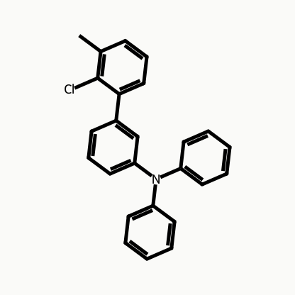 Cc1cccc(-c2cccc(N(c3ccccc3)c3ccccc3)c2)c1Cl